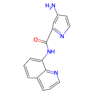 Nc1ccnc(C(=O)Nc2cccc3cccnc23)c1